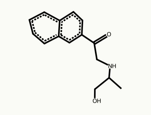 CC(CO)NCC(=O)c1ccc2ccccc2c1